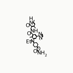 CCN(c1cc(-c2nccn2C)cc(C(=O)NCc2c(C)cc(C)[nH]c2=O)c1C)C1CCC(OC(N)=O)CC1